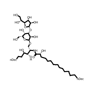 CCCCCCCCCCCCCCCCCCCCCC[C@@H](O)C(=O)N[C@@H](CO[C@H]1O[C@H](CO)[C@H](O)[C@H](O[C@@H]2O[C@@H]([C@H](O)CO)[C@H](O)[C@H]2O)[C@H]1O)[C@H](O)[C@H](O)CCCCCCCCCCCC